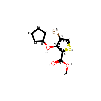 COC(=O)c1scc(Br)c1OC1CCCC1